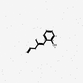 C=CC/C(C)=C/c1ccccc1O